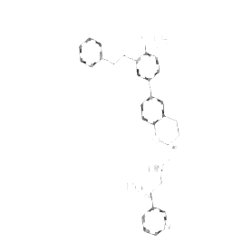 O=C(O)c1ccc(-c2ccc3c(c2)CC[C@H](CNC[C@@H](O)c2cccnc2)O3)cc1CCc1ccccc1